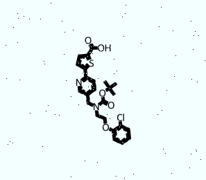 CC(C)(C)OC(=O)N(CCOc1ccccc1Cl)Cc1ccc(-c2ccc(C(=O)O)s2)nc1